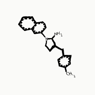 Cc1ccc(CC2CCN(c3ccc4ccccc4c3)C2N)cc1